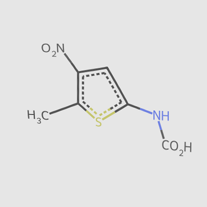 Cc1sc(NC(=O)O)cc1[N+](=O)[O-]